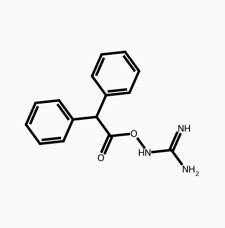 N=C(N)NOC(=O)C(c1ccccc1)c1ccccc1